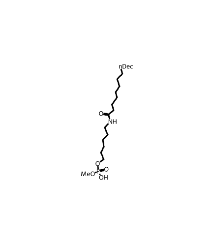 CCCCCCCCCCCCCCCCCC(=O)NCCCCCCOP(=O)(O)OC